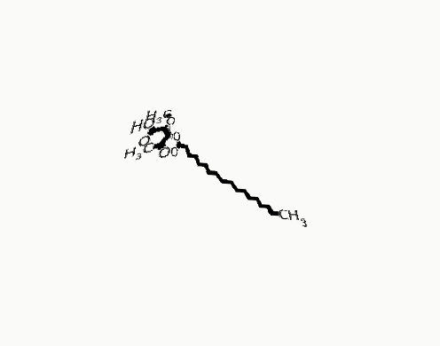 CCCCCCCCCCCCCCCCCC(=O)O[C@H](C(C)=O)[C@H](OC)C(=O)O